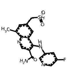 Cc1cc(C[SH](=O)=O)cc2c(Nc3cncc(F)c3)c(C(N)=O)cnc12